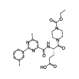 CCOC(=O)N1CCN(C(=O)[C@H](CCC(=O)O)NC(=O)c2cc(C)nc(-c3cccc(C)c3)n2)CC1